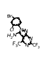 Nc1c2c(C(F)(F)F)nc(C(F)(F)F)nc2nn1-c1ccc(Br)cc1Cl